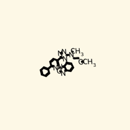 COCCN(C)c1nnc(-c2ccc(-c3ccccc3)nc2)n1-c1cccc2nonc12